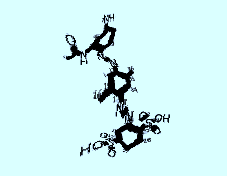 CC(=O)Nc1cc([NH])ccc1N=Nc1cc(C)c(N=Nc2cc(S(=O)(=O)O)ccc2S(=O)(=O)O)cc1C